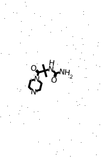 CC(C)(NC(N)=O)C(=O)N1CC[N]CC1